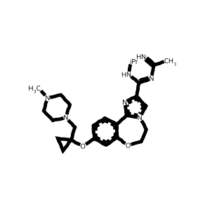 CC(=N)/N=C(\NC(C)C)c1cn2c(n1)-c1ccc(OC3(CN4CCN(C)CC4)CC3)cc1OCC2